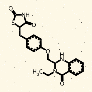 CCN1C(=O)c2ccccc2NC1COc1ccc(CC2SC(=O)NC2=O)cc1